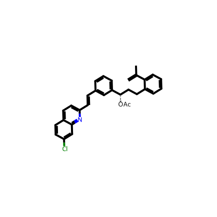 C=C(C)c1ccccc1CC[C@H](OC(C)=O)c1cccc(/C=C/c2ccc3ccc(Cl)cc3n2)c1